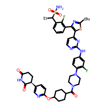 CCC(c1cccc(-c2nc(C(C)(C)C)sc2-c2ccnc(Nc3ccc(N4CCN(C(=O)C5CCC(Oc6ccc([C@@H]7CCC(=O)NC7=O)cn6)CC5)CC4)c(F)c3)n2)c1F)S(N)(=O)=O